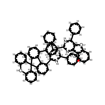 c1ccc(-c2nc(-c3ccccc3)nc(-c3cccc4c3-c3c(-c5ccc(-c6nc(-c7ccccc7)c7oc8ccccc8c7n6)cc5)cccc3C43c4ccccc4Oc4ccccc43)n2)cc1